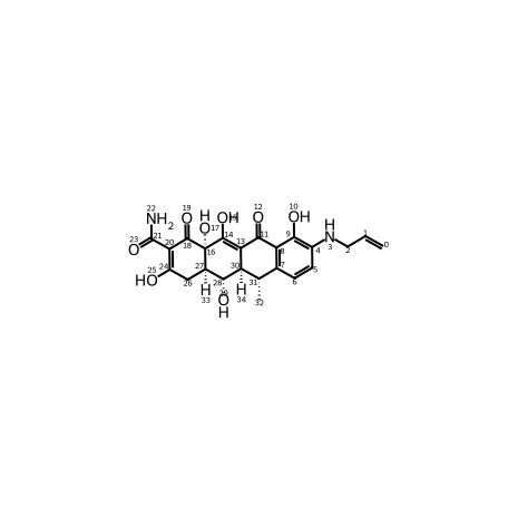 C=CCNc1ccc2c(c1O)C(=O)C1=C(O)[C@]3(O)C(=O)C(C(N)=O)=C(O)C[C@@H]3[C@@H](O)[C@@H]1[C@H]2C